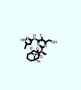 CCS(=O)(=O)N1[C@@H]2CCC[C@H]1CC(N(C)c1nc(CO)c(F)c(Nc3cc(C)[nH]n3)n1)C2